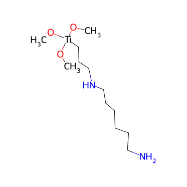 C[O][Ti]([CH2]CCNCCCCCCN)([O]C)[O]C